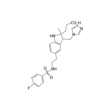 CC1(CCC(=O)O)Nc2ccc(CCNS(=O)(=O)c3ccc(F)cc3)cc2C1Cn1ccnc1